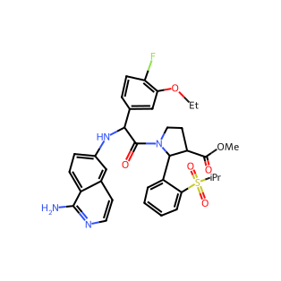 CCOc1cc(C(Nc2ccc3c(N)nccc3c2)C(=O)N2CCC(C(=O)OC)C2c2ccccc2S(=O)(=O)C(C)C)ccc1F